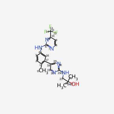 Cc1ccc(Nc2nccc(C(F)(F)F)n2)cc1-c1cnc(NCC(C)(C)O)nc1